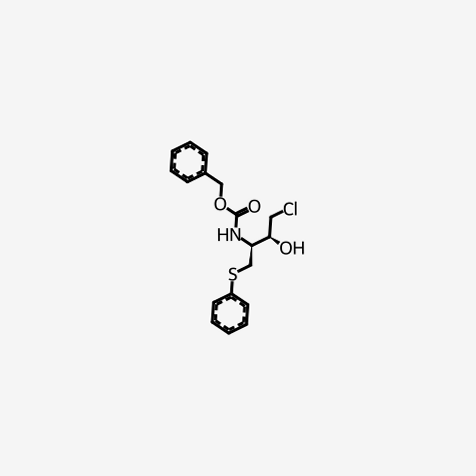 O=C(N[C@H](CSc1ccccc1)[C@H](O)CCl)OCc1ccccc1